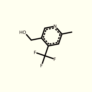 Cc1cc(C(F)(F)F)c(CO)cn1